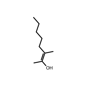 CCCCC/C(C)=C(\C)O